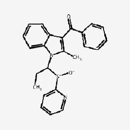 CCC(n1c(C)c(C(=O)c2ccccc2)c2ccccc21)[S+]([O-])c1ccccn1